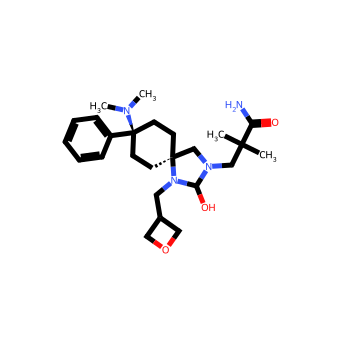 CN(C)[C@]1(c2ccccc2)CC[C@]2(CC1)CN(CC(C)(C)C(N)=O)C(O)N2CC1COC1